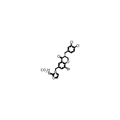 O=C(O)/N=c1/occn1Cc1cc(Br)c2c(c1)C(=O)[C@@H](Cc1ccc(Cl)c(Cl)c1)CO2